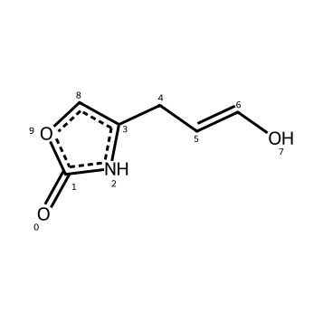 O=c1[nH]c(CC=CO)co1